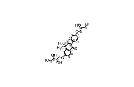 CC1(C)c2cc(OC[C@@H](O)[C@H](O)CO)ccc2C(=O)c2c1oc1cc(OCC(O)CO)ccc21